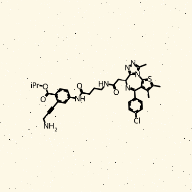 Cc1sc2c(c1C)C(c1ccc(Cl)cc1)=N[C@@H](CC(=O)NCCCC(=O)Nc1ccc(C(=O)OC(C)C)c(C#CCN)c1)c1nnc(C)n1-2